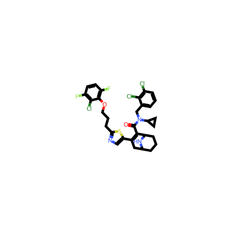 O=C(C1=C(c2cnc(CCCOc3c(F)ccc(F)c3Cl)s2)CC2CCCC1N2)N(Cc1cccc(Cl)c1Cl)C1CC1